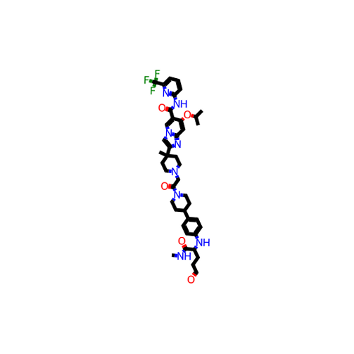 CNC(=O)C(CCC=O)Nc1ccc(C2CCN(C(=O)CN3CCC(C)(c4cn5cc(C(=O)Nc6cccc(C(F)(F)F)n6)c(OC(C)C)cc5n4)CC3)CC2)cc1